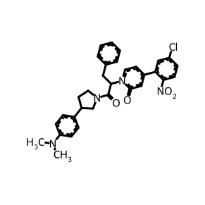 CN(C)c1ccc(C2CCN(C(=O)C(Cc3ccccc3)n3ccc(-c4cc(Cl)ccc4[N+](=O)[O-])cc3=O)C2)cc1